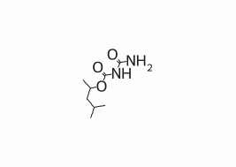 CC(C)CC(C)OC(=O)NC(N)=O